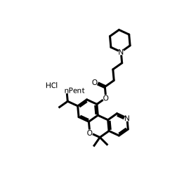 CCCCCC(C)c1cc(OC(=O)CCCN2CCCCC2)c2c(c1)OC(C)(C)c1ccncc1-2.Cl